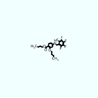 CCCCOC(=O)c1ccc(NCc2c(F)c(F)c(F)c(F)c2F)cc1OCCCC